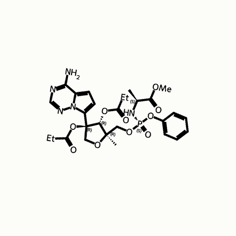 CCC(=O)O[C@@H]1[C@@](C)(CO[P@@](=O)(N[C@@H](C)C(=O)OC)Oc2ccccc2)OC[C@]1(OC(=O)CC)c1ccc2c(N)ncnn12